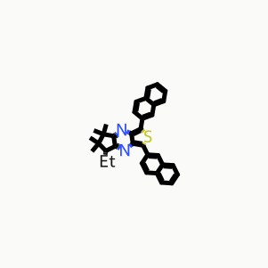 CCC1c2nc3c(-c4ccc5ccccc5c4)sc(-c4ccc5ccccc5c4)c3nc2C(C)(C)C1(C)C